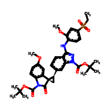 CCS(=O)(=O)c1ccc(Nc2nn(C(=O)OC(C)(C)C)c3cc([C@@H]4C[C@@]45C(=O)N(C(=O)OC(C)(C)C)c4ccc(OC)cc45)ccc23)c(OC)c1